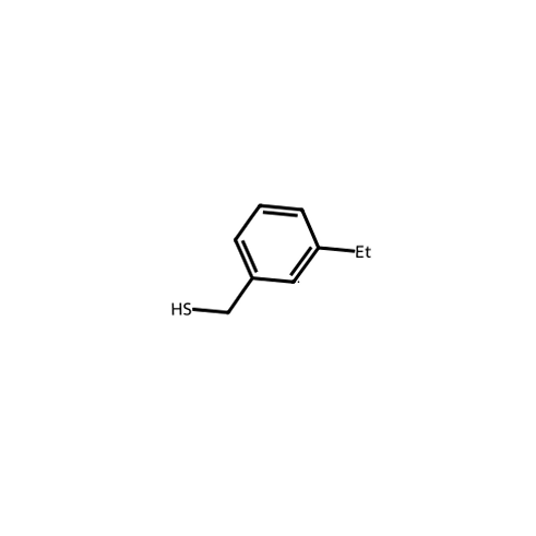 CCc1[c]c(CS)ccc1